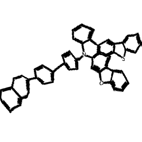 c1ccc(N(c2ccc(-c3ccc(-c4ccc5ccccc5c4)cc3)cc2)c2ccc3c(c2)oc2ccccc23)c(-c2ccc3sc4ccccc4c3c2)c1